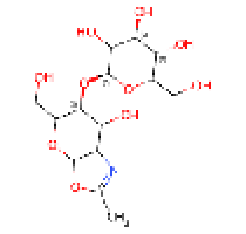 CC1=NC2C(O1)OC(CO)[C@@H](O[C@@H]1OC(CO)[C@@H](O)[C@H](O)C1O)C2O